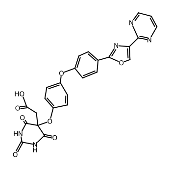 O=C(O)CC1(Oc2ccc(Oc3ccc(-c4nc(-c5ncccn5)co4)cc3)cc2)C(=O)NC(=O)NC1=O